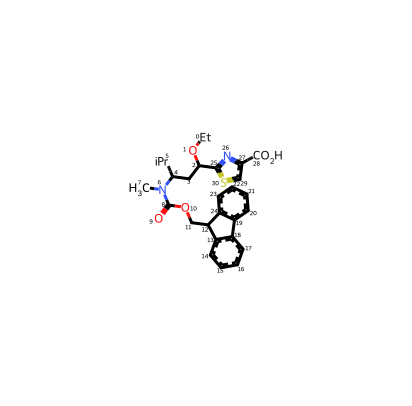 CCOC(CC(C(C)C)N(C)C(=O)OCC1c2ccccc2-c2ccccc21)c1nc(C(=O)O)cs1